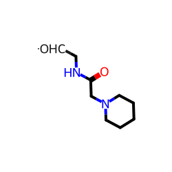 O=[C]CNC(=O)CN1CCCCC1